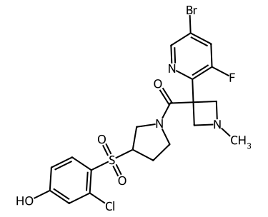 CN1CC(C(=O)N2CCC(S(=O)(=O)c3ccc(O)cc3Cl)C2)(c2ncc(Br)cc2F)C1